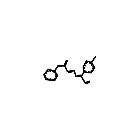 C=CC(=CC=CC(=C)Cc1ccccc1)c1ccc(C)cc1